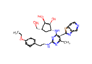 CCOc1ccc(CCNc2nc(C)c(-c3nc4cnccc4s3)c(N[C@@H]3C[C@H](CO)[C@@H](O)[C@H]3O)n2)cc1